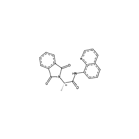 C[C@@H](C(=O)Nc1cccc2cccnc12)N1C(=O)c2ccccc2C1=O